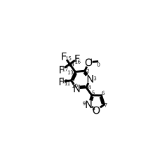 COc1nc(-c2ccon2)nc(F)c1C(F)(F)F